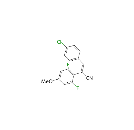 COc1cc(F)c(/C(C#N)=C\c2ccc(Cl)cc2)c(F)c1